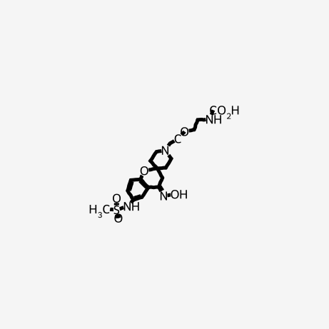 CS(=O)(=O)Nc1ccc2c(c1)/C(=N/O)CC1(CCN(CCOCCNC(=O)O)CC1)O2